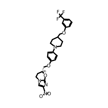 O=[N+]([O-])c1cn2c(n1)O[C@@H](COc1ccc(N3CCC(COc4cccc(C(F)(F)F)c4)CC3)cc1)CC2